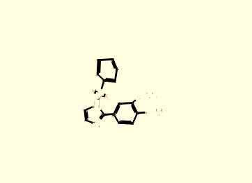 COc1ccc(-c2nccn2S(=O)(=O)c2ccccc2)cc1OC